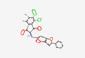 Cc1c(C)c2c(c(Cl)c1Cl)C(=O)/C(=C\c1cc3oc(-c4ccccc4)cc3o1)C2=O